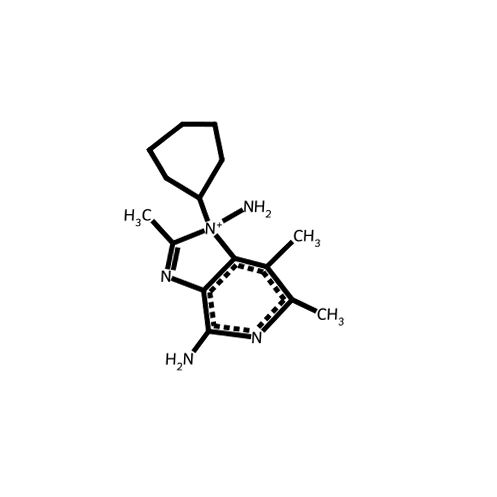 CC1=Nc2c(N)nc(C)c(C)c2[N+]1(N)C1CCCCC1